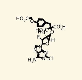 Nc1nc(Cl)nc2c1ncn2[C@@H]1O[C@@H]2C(OC(Cc3ccc(OCC(=O)O)cc3)(C(=O)O)C(=O)O)[C@]2(O)[C@@H]1F